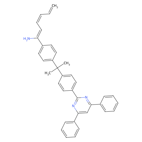 C=C/C=C\C=C(/N)c1ccc(C(C)(C)c2ccc(-c3nc(-c4ccccc4)cc(-c4ccccc4)n3)cc2)cc1